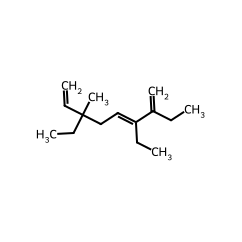 C=CC(C)(CC)C/C=C(\CC)C(=C)CC